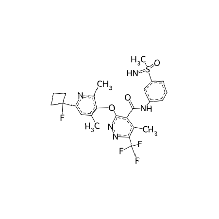 Cc1cc(C2(F)CCC2)nc(C)c1Oc1nnc(C(F)(F)F)c(C)c1C(=O)Nc1cccc(S(C)(=N)=O)c1